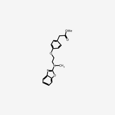 COC(=O)Cc1ccc(OCCN(C)c2nc3ccccc3o2)cc1